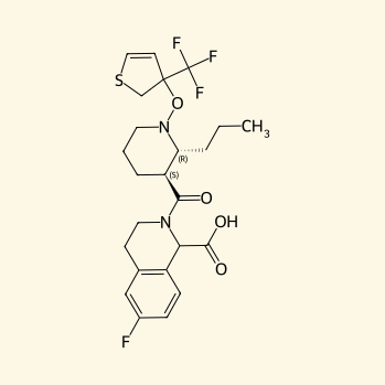 CCC[C@@H]1[C@@H](C(=O)N2CCc3cc(F)ccc3C2C(=O)O)CCCN1OC1(C(F)(F)F)C=CSC1